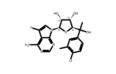 Cc1cc(C(C)(O)[C@H]2O[C@@H](n3cc(F)c4c(N)ncnc43)[C@H](O)[C@@H]2O)ccc1Cl